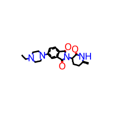 C=C1CCC(N2C(=O)c3ccc(N4CCN(CC)CC4)cc3C2=O)C(=O)N1